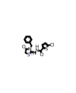 O=C(N/N=C1/SCC(=O)N1Cc1ccccc1)c1ccc(Cl)s1